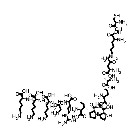 CC[C@H](C)[C@H](N)C(=O)O.CC[C@H](C)[C@H](N)C(=O)O.C[C@H](N)C(=O)O.N=C(N)NCCC[C@H](N)C(=O)O.NC(=O)C[C@H](N)C(=O)O.NCC(=O)O.NCCCC[C@H](N)C(=O)O.NCCCC[C@H](N)C(=O)O.NCCCC[C@H](N)C(=O)O.NCCCC[C@H](N)C(=O)O.N[C@@H](CS)C(=O)O.O=C(O)[C@@H]1CCCN1.O=C(O)[C@@H]1CCCN1